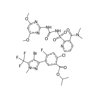 CC(C)OC(=O)c1cc(-c2nn(C)c(C(F)(F)F)c2Br)c(F)cc1Cl.COc1cc(OC)nc(NC(=O)NS(=O)(=O)c2ncccc2C(=O)N(C)C)n1